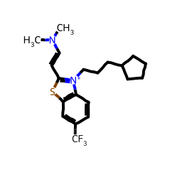 CN(C)/C=C/c1sc2cc(C(F)(F)F)ccc2[n+]1CCCC1CCCC1